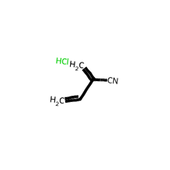 C=CC(=C)C#N.Cl